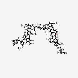 CCc1nn(Cc2n[nH]c(=O)o2)c(CC)c1Cc1cc(C)c(Oc2c(C)cc(Cc3c(C)nn(CC(=O)NCC(=O)Oc4cc(Cn5nc(C)c(Cc6cc(C)c(Oc7c(C)cc(Cc8c(C)nn(CCc9n[nH]c(=O)o9)c8C)c8c7CCC8)c7c6CCC7)c5C)[nH]n4)c3C)c3c2CCC3)c2c1CCC2